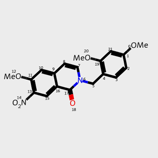 COc1ccc(Cn2ccc3cc(OC)c([N+](=O)[O-])cc3c2=O)c(OC)c1